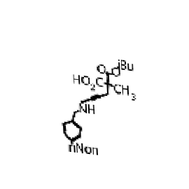 CCCCCCCCCc1ccc(CNCC#CCC(C)(C(=O)O)C(=O)OC(C)CC)cc1